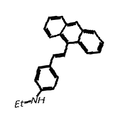 CCNc1ccc(C=Cc2c3ccccc3cc3ccccc23)cc1